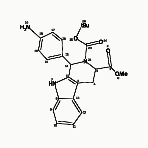 COC(=O)C1Cc2c([nH]c3ccccc23)C(c2ccc(N)cc2)N1C(=O)OC(C)(C)C